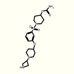 NC(=O)OC1CCN(S(=O)(=O)c2cccc(OC3CCN(C4CNC4)CC3)c2)CC1